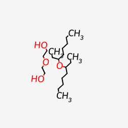 CCCCCC(CC)OC(CC)CCCCC.OCCOCCO